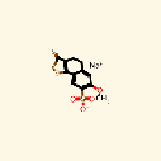 COc1cc2c(cc1S(=O)(=O)[O-])-c1ssc(=S)c1CC2.[Na+]